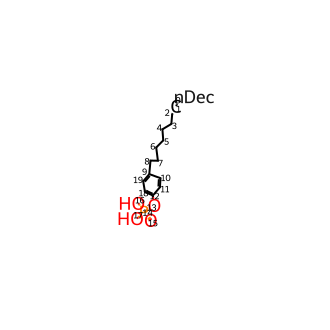 CCCCCCCCCCCCCCCCCCc1ccc(OP(=O)(O)O)cc1